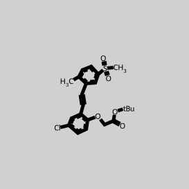 Cc1ccc(S(C)(=O)=O)cc1C#Cc1cc(Cl)ccc1OCC(=O)OC(C)(C)C